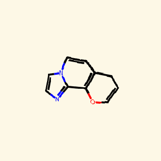 C1=COc2c(ccn3ccnc23)C1